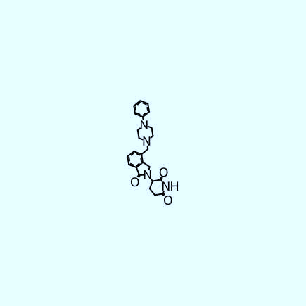 O=C1CCC(N2Cc3c(CN4CCN(c5ccccc5)CC4)cccc3C2=O)C(=O)N1